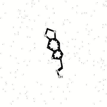 O/N=C/c1cc2cc3c(cc2s1)OCO3